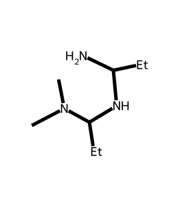 CCC(N)NC(CC)N(C)C